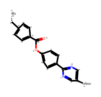 CCCCCCCCCc1cnc(-c2ccc(OC(=O)c3ccc(C[C@@H](C)CC)cc3)cc2)nc1